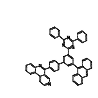 c1ccc(-c2nc(-c3ccccc3)nc(-c3cc(-c4ccc(-c5nc6ccccc6c6ccncc56)cc4)cc(-c4c5ccccc5cc5ccccc45)c3)n2)cc1